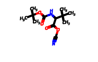 CC(C)(C)OC(=O)NC(C(=O)OC#N)C(C)(C)C